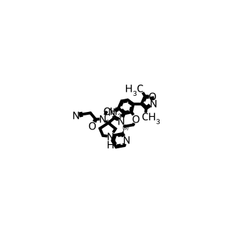 Cc1noc(C)c1-c1ccc2nc([C@@]3(N(C)C(=O)CC#N)CCNC3)n3c2c1OC[C@@H]3c1ccccn1